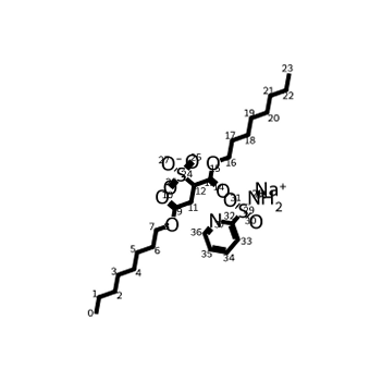 CCCCCCCCOC(=O)CC(C(=O)OCCCCCCCC)S(=O)(=O)[O-].NS(=O)(=O)c1ccccn1.[Na+]